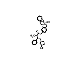 CN(C(=O)Cc1ccc2c(c1)N(Cc1ccccc1)S(O)(O)C2)[C@H](CN1CCC(O)C1)c1ccccc1